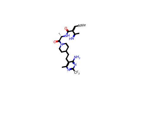 CN/C=C(\C(C)=N)C(=O)N[C@@H](C)C(=O)N1CCC(CCc2c(C)nc(C(F)(F)F)nc2N)CC1